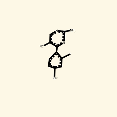 Cc1cc(C#N)ccc1-c1nc(N)ncc1C#N